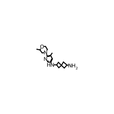 Cc1cc(NC2CC3(CC(N)C3)C2)cnc1N1CCOC(C)C1